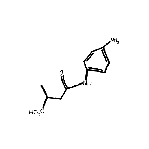 CC(CC(=O)Nc1ccc(N)cc1)C(=O)O